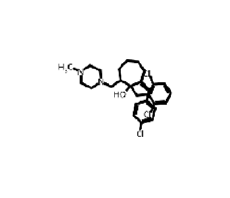 CN1CCN(CC2CCCCC(=Cc3ccc(Cl)cc3)C2(O)Cc2c(Cl)cccc2Cl)CC1